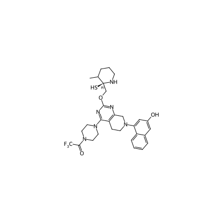 CC1CCCN[C@]1(S)COc1nc2c(c(N3CCN(C(=O)C(F)(F)F)CC3)n1)CCN(c1cc(O)cc3ccccc13)C2